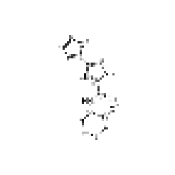 O=C(NC1CCCCC1=O)c1nc(-c2ccco2)cs1